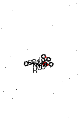 O=C(COc1ccccc1)NC1C(=O)N(C(SC(c2ccccc2)(c2ccccc2)c2ccccc2)C(=O)OCc2ccccc2)C1CI